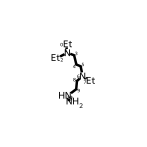 CCN(CC)CCCN(CC)CCNN